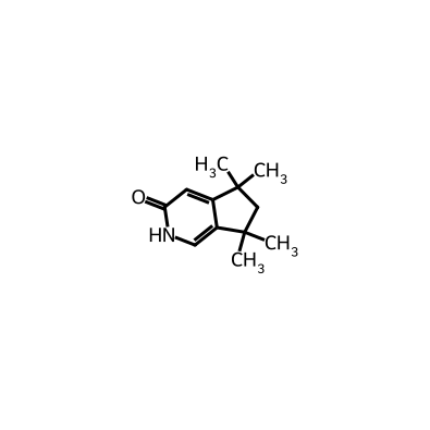 CC1(C)CC(C)(C)c2cc(=O)[nH]cc21